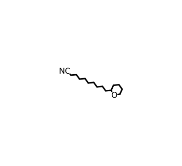 N#CCCCCCCCCCC1CCCCO1